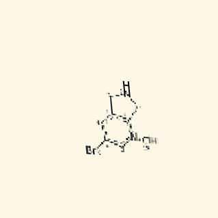 Brc1cnc2c(c1)CNC2.Cl